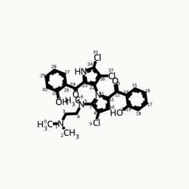 CN(C)CCN(C)c1c(Cl)cc(C(=O)c2ccccc2O)n1-c1c(C(=O)c2ccccc2O)[nH]c(Cl)c1Cl